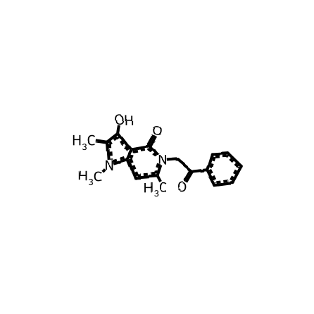 Cc1cc2c(c(O)c(C)n2C)c(=O)n1CC(=O)c1ccccc1